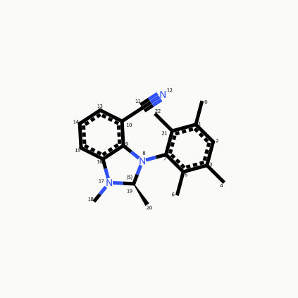 Cc1cc(C)c(C)c(N2c3c(C#N)cccc3N(C)[C@@H]2C)c1C